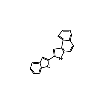 C1=C(c2cc3ccccc3o2)[N]c2ccc3ccccc3c21